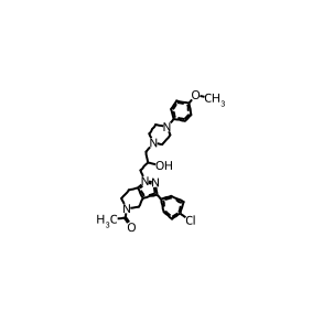 COc1ccc(N2CCN(CC(O)Cn3nc(-c4ccc(Cl)cc4)c4c3CCN(C(C)=O)C4)CC2)cc1